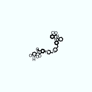 O=C1CCC(N2C(=O)c3ccc(N4CCC(CN5CCC(Cc6ccc7c(c6)C6(CCCCC6)c6nc(=O)c8c(Cl)cccc8n6-7)CC5)CC4)cc3C2=O)C(=O)N1